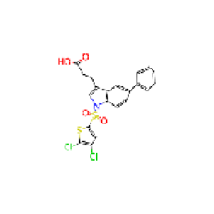 O=C(O)CCc1cn(S(=O)(=O)c2cc(Cl)c(Cl)s2)c2ccc(-c3ccccc3)cc12